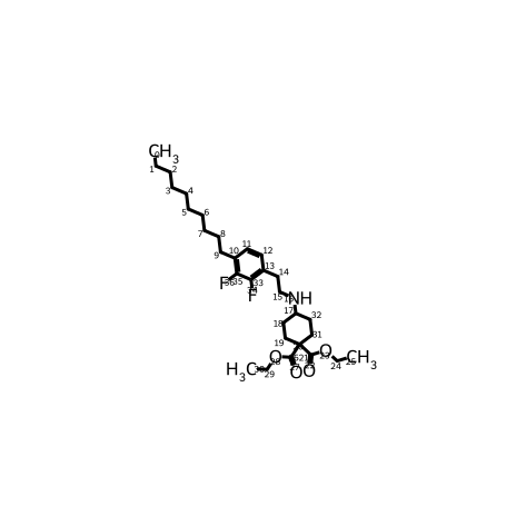 CCCCCCCCCCc1ccc(CCNC2CCC(C(=O)OCC)(C(=O)OCC)CC2)c(F)c1F